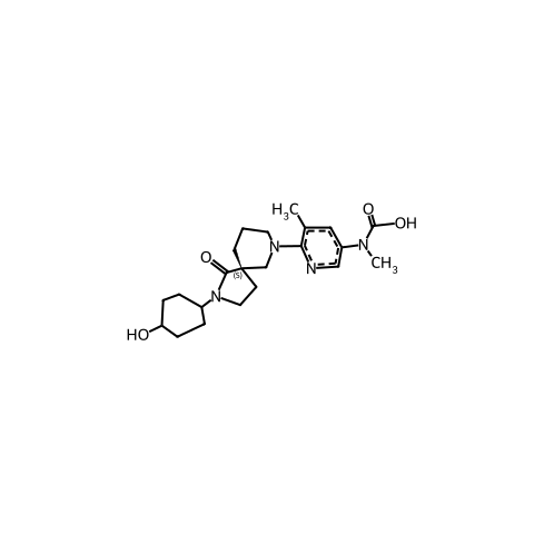 Cc1cc(N(C)C(=O)O)cnc1N1CCC[C@]2(CCN(C3CCC(O)CC3)C2=O)C1